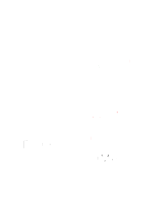 CCOC(=O)Cc1cccc(OCC(=O)c2cc(Br)c3occc3c2)c1OCOC